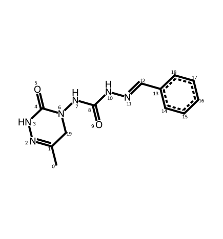 CC1=NNC(=O)N(NC(=O)N/N=C/c2ccccc2)C1